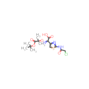 CC(C)(C)OC(=O)C(C)(C)ON=C(C(=O)O)c1csc(NC(=O)CCl)n1